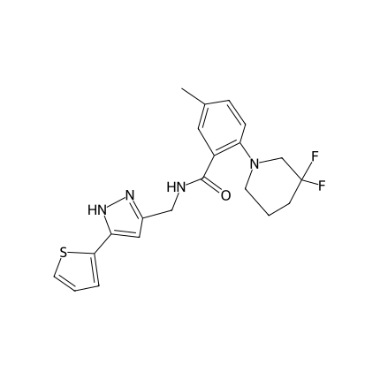 Cc1ccc(N2CCCC(F)(F)C2)c(C(=O)NCc2cc(-c3cccs3)[nH]n2)c1